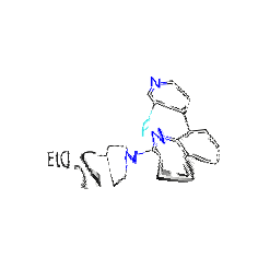 CCOC(=O)C1CCN(c2ccc3cccc(-c4ccncc4F)c3n2)CC1